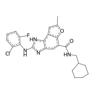 Cc1cc2c(o1)c(C(=O)NCC1CCCCC1)cc1nc(Nc3c(F)cccc3Cl)[nH]c12